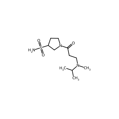 CC(C)N(C)CCC(=O)N1CCC(S(N)(=O)=O)C1